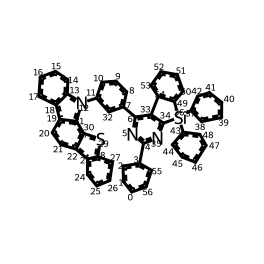 c1ccc(-c2nc(-c3cccc(-n4c5ccccc5c5ccc6c7ccccc7sc6c54)c3)c3c(n2)[Si](c2ccccc2)(c2ccccc2)c2ccccc2-3)cc1